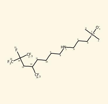 C[N+](C)([O-])CCCNCCCCC(CC(F)(C(F)(F)F)C(F)(F)F)C(F)(F)F